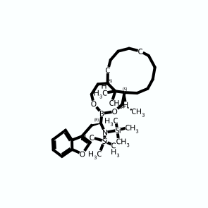 C[C@@H]1OB([C@H](Cc2coc3ccccc23)N([Si](C)(C)C)[Si](C)(C)C)OCC[C@@H]2CCCCCCCCCC[C@H]1C2(C)C